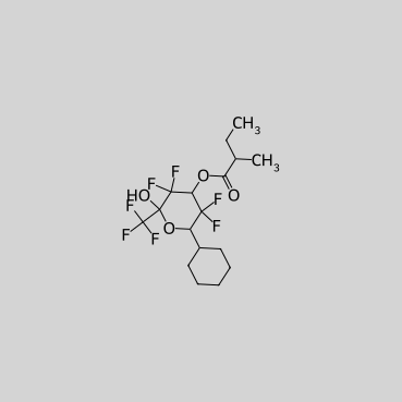 CCC(C)C(=O)OC1C(F)(F)C(C2CCCCC2)OC(O)(C(F)(F)F)C1(F)F